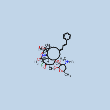 CCCCN(C)[C@H]1C[C@@H](C)O[C@@H](O[C@@H]2[C@@H](C)C(=O)[C@](C)(F)C(=O)O[C@H](CC)[C@@](C)(O)[C@@H]3CC/C(=C\C=C\c4ccccc4)CC[C@]2(C)C[C@@H](C)/C(=N\C(C)=O)[C@@H]3C)[C@@H]1O